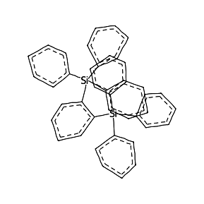 c1ccc([Si](c2ccccc2)(c2ccccc2)c2ccccc2[Si](c2ccccc2)(c2ccccc2)c2ccccc2)cc1